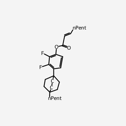 CCCCC/C=C/C(=O)Oc1ccc(C23CCC(CCCCC)(CC2)CC3)c(F)c1F